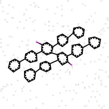 Ic1cc(-c2ccc(-c3ccccc3)cc2)c(-c2cc(-c3ccc(-c4ccccc4)cc3)c(I)cc2-c2ccc(-c3ccccc3)cc2)cc1-c1ccc(-c2ccccc2)cc1